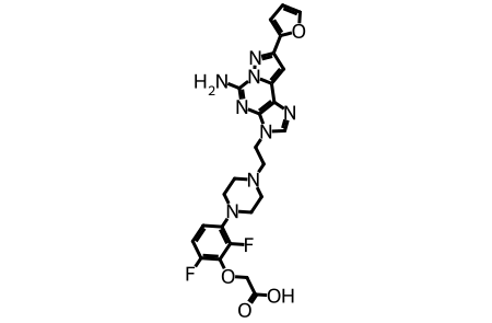 Nc1nc2c(ncn2CCN2CCN(c3ccc(F)c(OCC(=O)O)c3F)CC2)c2cc(-c3ccco3)nn12